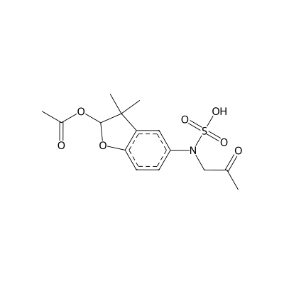 CC(=O)CN(c1ccc2c(c1)C(C)(C)C(OC(C)=O)O2)S(=O)(=O)O